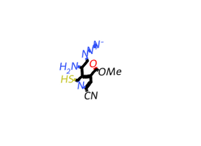 COC(=O)c1cc(C#N)nc(S)c1C(N)CN=[N+]=[N-]